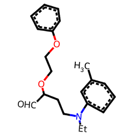 CCN(CCC(C=O)OCCOc1ccccc1)c1cccc(C)c1